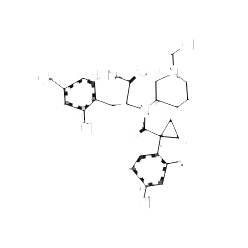 CCN1CCCC(N(C(=O)C2(c3ccc(Cl)cc3Cl)CC2)[C@@H](Cc2ccc(Cl)cc2Cl)C(N)=O)C1